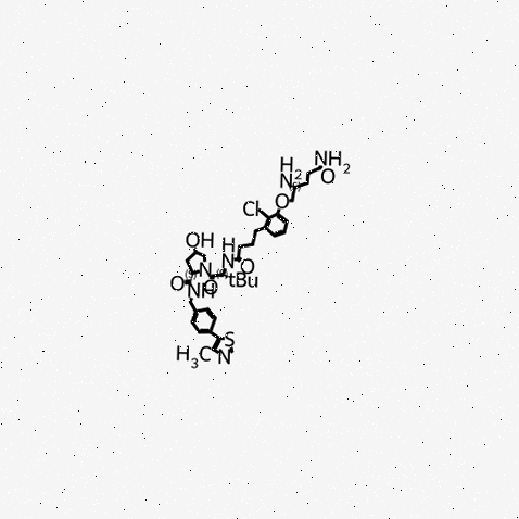 Cc1ncsc1-c1ccc(CNC(=O)[C@@H]2CC(O)CN2C(=O)[C@@H](NC(=O)CCCc2cccc(OC[C@@H](N)CCC(N)=O)c2Cl)C(C)(C)C)cc1